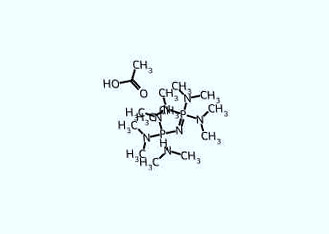 CC(=O)O.CN(C)P(=N[PH](N(C)C)(N(C)C)N(C)C)(N(C)C)N(C)C